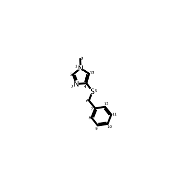 Cn1cnc(SCc2ccccc2)c1